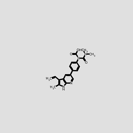 C=Cc1c(C)[nH]c2ncc(-c3ccc(N(C(=O)O)C(=O)N(C)C)cc3)cc12